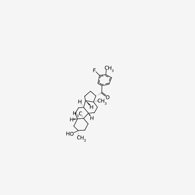 Cc1ccc(C(=O)[C@H]2CC[C@H]3[C@@H]4CC[C@H]5C[C@](C)(O)CC[C@]5(C)[C@H]4CC[C@]23C)cc1F